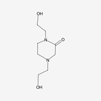 O=C1CN(CCO)CCN1CCO